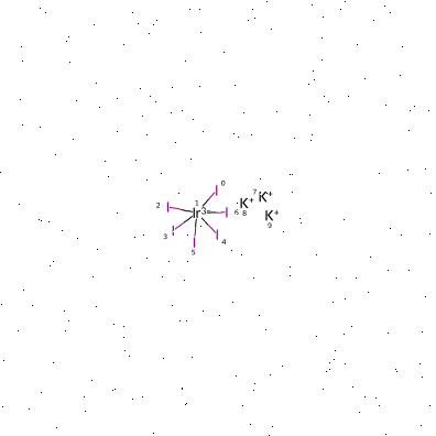 [I][Ir-3]([I])([I])([I])([I])[I].[K+].[K+].[K+]